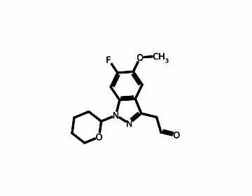 COc1cc2c(CC=O)nn(C3CCCCO3)c2cc1F